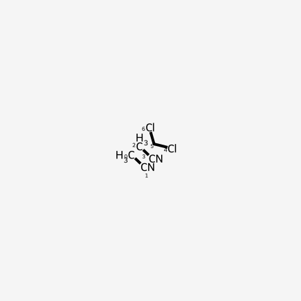 CC#N.CC#N.ClCCl